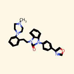 CN1CCN(c2ccccc2CCn2c(=O)n(-c3ccc(-c4cocn4)cc3)c3ccccc32)CC1